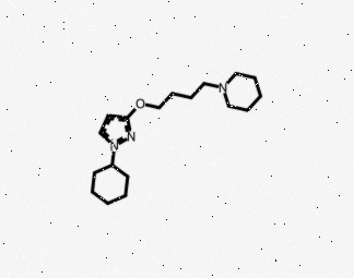 c1cn(C2CCCCC2)nc1OCCCCN1CCCCC1